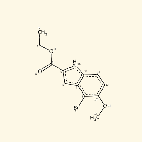 CCOC(=O)c1cc2c(Br)c(OC)ccc2[nH]1